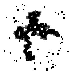 COC(=O)CCCCCNC(c1ccccc1)C1CSc2c(Cc3c(F)cccc3C(F)(F)F)c(C)c(-c3cccc(OC)c3F)c(=O)n21